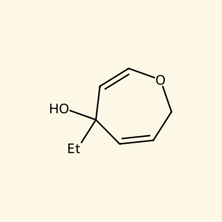 CCC1(O)C=CCOC=C1